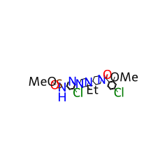 CC[C@H]1CN(c2ncc(NSOOC)cc2Cl)CCN1C1CCN(C(=O)c2ccc(Cl)cc2OC)CC1